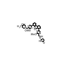 COc1nc(-c2cccc(-c3cccc(-c4cnc(CN5CCC(C)(O)CC5)c(OC)n4)c3Cl)c2Cl)cnc1CNC[C@@H]1CCC(=O)N1